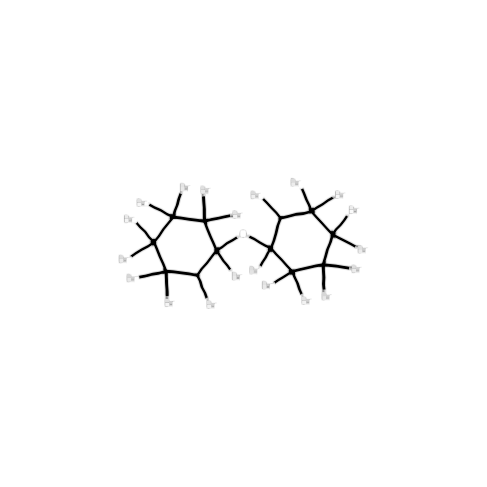 BrC1C(Br)(Br)C(Br)(Br)C(Br)(Br)C(Br)(Br)C1(Br)OC1(Br)C(Br)C(Br)(Br)C(Br)(Br)C(Br)(Br)C1(Br)Br